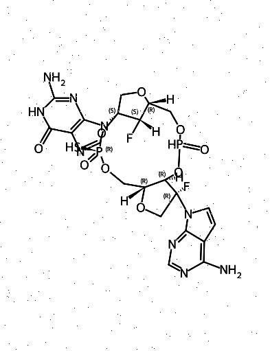 Nc1nc2c(ncn2[C@@]23CO[C@H](CO[PH](=O)O[C@@H]4[C@@H](CO[P@@](=O)(S)O2)OC[C@]4(F)n2ccc4c(N)ncnc42)[C@@H]3F)c(=O)[nH]1